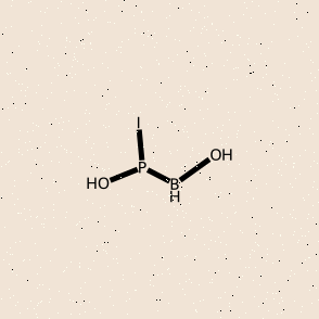 OBP(O)I